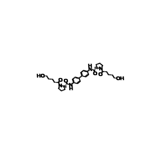 O=C(Nc1ccc(-c2ccc(NC(=O)[C@@H]3CCCN3C(=O)CCCCO)cc2)cc1)[C@@H]1CCCN1C(=O)CCCCO